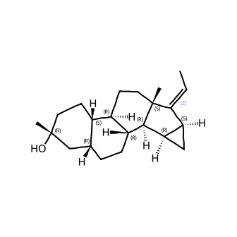 C/C=C1/[C@H]2C[C@H]2[C@H]2[C@@H]3CC[C@@H]4C[C@](C)(O)CC[C@@H]4[C@H]3CC[C@]12C